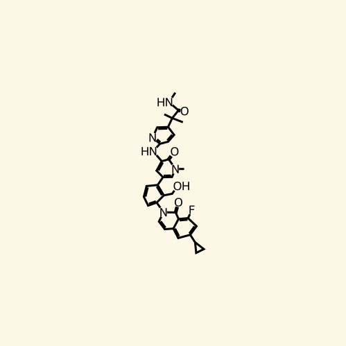 CNC(=O)C(C)(C)c1ccc(Nc2cc(-c3cccc(-n4ccc5cc(C6CC6)cc(F)c5c4=O)c3CO)cn(C)c2=O)nc1